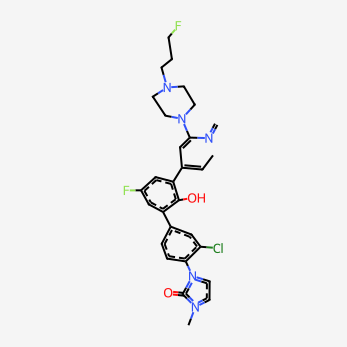 C=N/C(=C\C(=C/C)c1cc(F)cc(-c2ccc(-n3ccn(C)c3=O)c(Cl)c2)c1O)N1CCN(CCCF)CC1